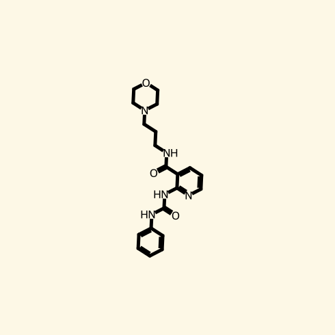 O=C(Nc1ccccc1)Nc1ncccc1C(=O)NCCCN1CCOCC1